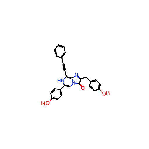 O=c1c(Cc2ccc(O)cc2)nc2c(C#Cc3ccccc3)[nH]c(-c3ccc(O)cc3)cn1-2